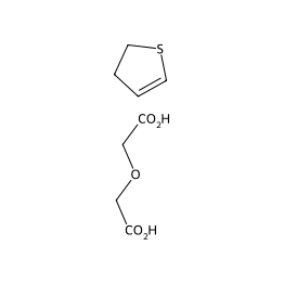 C1=CSCC1.O=C(O)COCC(=O)O